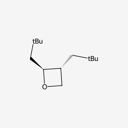 CC(C)(C)C[C@@H]1CO[C@H]1CC(C)(C)C